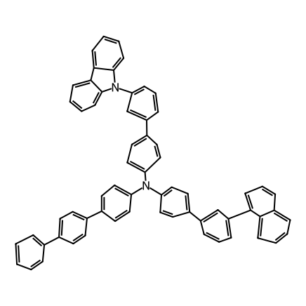 c1ccc(-c2ccc(-c3ccc(N(c4ccc(-c5cccc(-c6cccc7ccccc67)c5)cc4)c4ccc(-c5cccc(-n6c7ccccc7c7ccccc76)c5)cc4)cc3)cc2)cc1